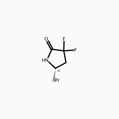 CCC[C@H]1CC(F)(F)C(=O)N1